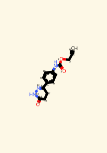 C#CCOC(=O)Nc1ccc(C2=NNC(=O)CC2)cc1